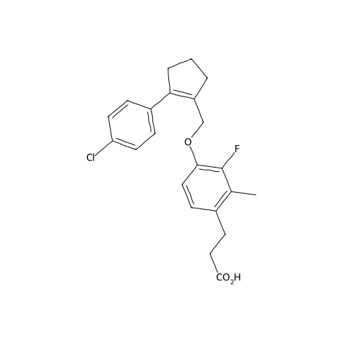 Cc1c(CCC(=O)O)ccc(OCC2=C(c3ccc(Cl)cc3)CCC2)c1F